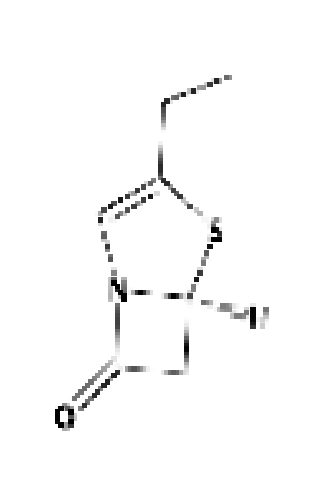 CCC1=CN2C(=O)C[C@@H]2S1